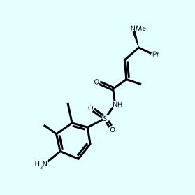 CN[C@H](/C=C(\C)C(=O)NS(=O)(=O)c1ccc(N)c(C)c1C)C(C)C